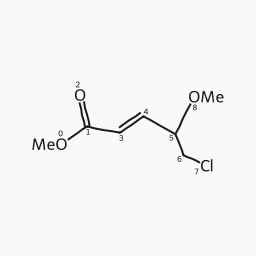 COC(=O)C=CC(CCl)OC